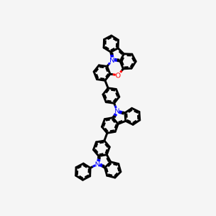 c1ccc(-n2c3ccccc3c3cc(-c4ccc5c(c4)c4ccccc4n5-c4ccc(-c5cccc6c5Oc5cccc7c8ccccc8n-6c57)cc4)ccc32)cc1